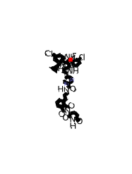 C=C(/C=C\C(=C/C)C(=O)NCCCc1cccc2c1C(=O)N(C1CCC(=O)NC1=O)C2=O)[C@H]1C[C@H]2[C@@H](N1)[C@H](C1(C)CC=CC(Cl)=C1F)[C@]1(C(=O)Nc3cc(Cl)ccc31)N2CC1CC1